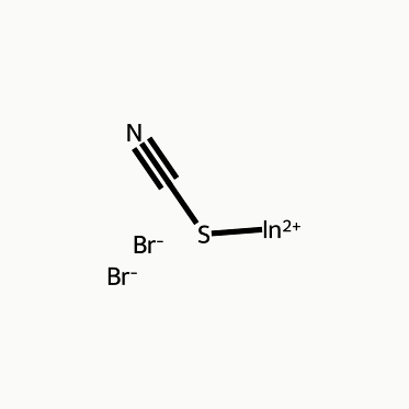 N#C[S][In+2].[Br-].[Br-]